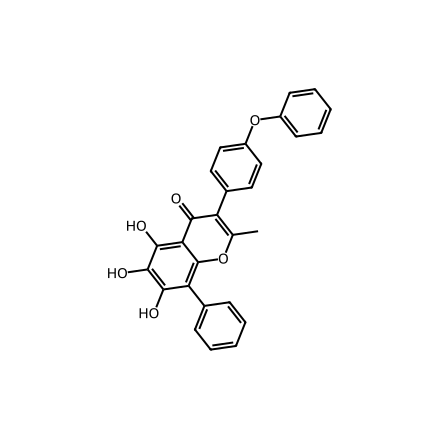 Cc1oc2c(-c3ccccc3)c(O)c(O)c(O)c2c(=O)c1-c1ccc(Oc2ccccc2)cc1